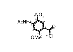 COc1cc(NC(C)=O)c([N+](=O)[O-])cc1C(=O)Cl